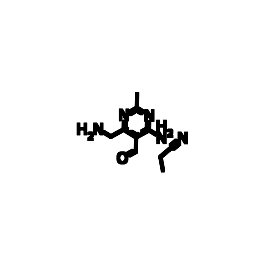 CCC#N.Cc1nc(N)c(C=O)c(CN)n1